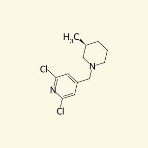 C[C@H]1CCCN(Cc2cc(Cl)nc(Cl)c2)C1